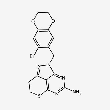 Nc1nc2c3c(nn(Cc4cc5c(cc4Br)OCCO5)c3n1)CCS2